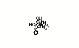 CC(C)(C)[Si](C)(C)C(CC(=O)O)C(O)OCc1ccccc1